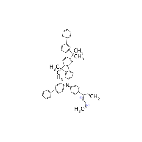 C=C/C(=C\C=C/C)c1ccc(N(c2ccc(-c3ccccc3)cc2)c2ccc3c(c2)C(C)(C)c2cc4c(cc2-3)C(C)(C)c2cc(C3C=CC=CC3)ccc2-4)cc1